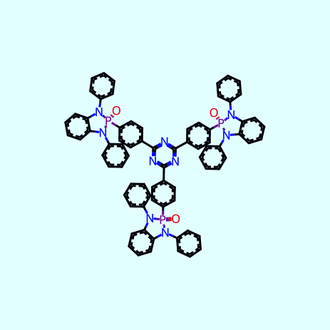 O=P1(c2ccc(-c3nc(-c4ccc(P5(=O)N(c6ccccc6)c6ccccc6N5c5ccccc5)cc4)nc(-c4ccc(P5(=O)N(c6ccccc6)c6ccccc6N5c5ccccc5)cc4)n3)cc2)N(c2ccccc2)c2ccccc2N1c1ccccc1